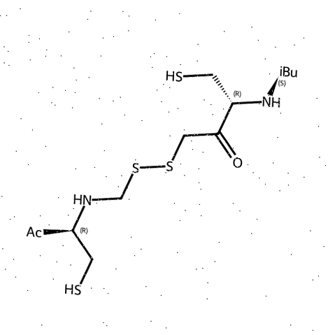 CC[C@H](C)N[C@@H](CS)C(=O)CSSCN[C@@H](CS)C(C)=O